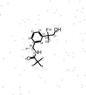 C[C@@H](NC(=O)C(C)(C)C)c1cccc(C(F)(F)CO)c1